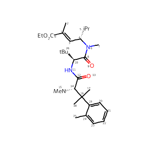 CCOC(=O)/C(C)=C/[C@H](C(C)C)N(C)C(=O)[C@@H](NC(=O)[C@@H](NC)C(C)(C)c1ccccc1C)C(C)(C)C